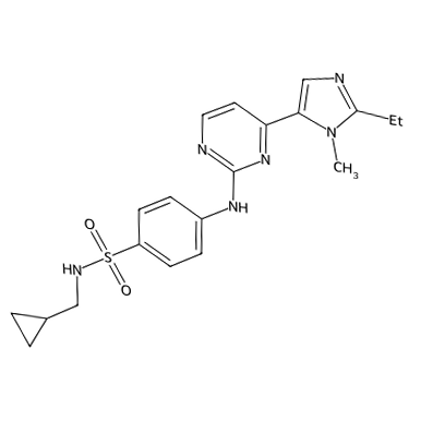 CCc1ncc(-c2ccnc(Nc3ccc(S(=O)(=O)NCC4CC4)cc3)n2)n1C